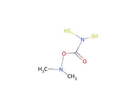 CN(C)OC(=O)N(S)S